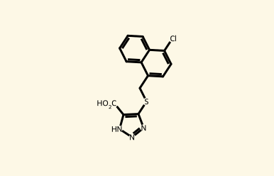 O=C(O)c1[nH]nnc1SCc1ccc(Cl)c2ccccc12